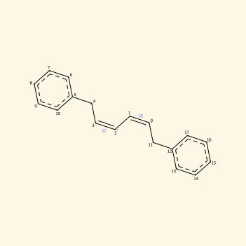 [C](=C/[C]=C\Cc1ccccc1)/Cc1ccccc1